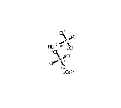 [Ca+2].[Cl][Al-]([Cl])([Cl])[Cl].[Cl][Al-]([Cl])([Cl])[Cl].[LiH]